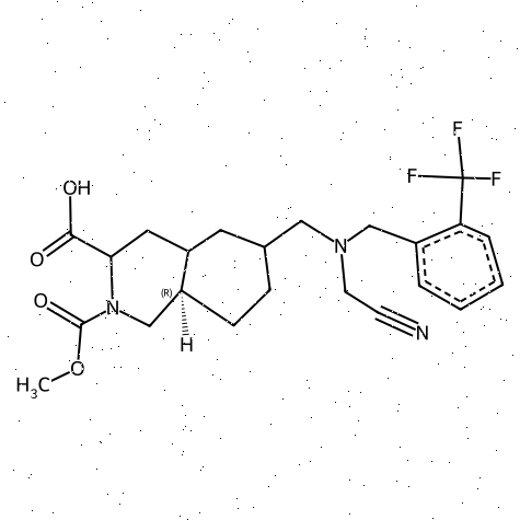 COC(=O)N1C[C@@H]2CCC(CN(CC#N)Cc3ccccc3C(F)(F)F)CC2CC1C(=O)O